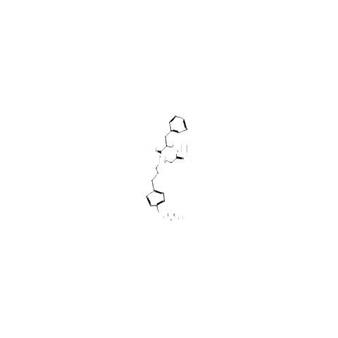 COc1ccc(CCCN2CC(=O)NC(Cc3ccccc3)C2=O)cc1